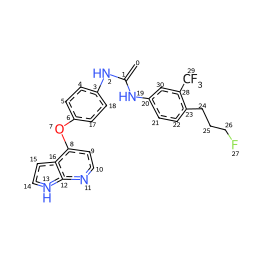 C=C(Nc1ccc(Oc2ccnc3[nH]ccc23)cc1)Nc1ccc(CCCF)c(C(F)(F)F)c1